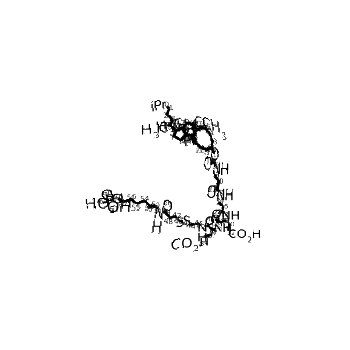 CC(C)CCC[C@@H](C)C1CC[C@H]2[C@H]3CCCC(OC(=O)NCCC(=O)NCCC(=O)N[C@@H](CCC(=O)O)C(=O)N[C@@H](CCC(=O)O)C(=O)NCCSSCCC(=O)NCCCCCCOP(=O)(O)O)CCC(C)(C)C3CCC12C